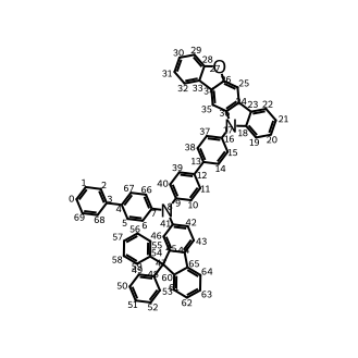 c1ccc(-c2ccc(N(c3ccc(-c4ccc(-n5c6ccccc6c6cc7oc8ccccc8c7cc65)cc4)cc3)c3ccc4c(c3)C(c3ccccc3)(c3ccccc3)c3ccccc3-4)cc2)cc1